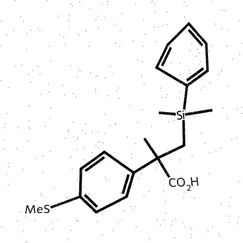 CSc1ccc(C(C)(C[Si](C)(C)c2ccccc2)C(=O)O)cc1